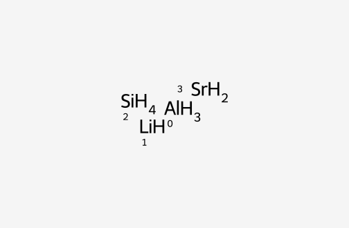 [AlH3].[LiH].[SiH4].[SrH2]